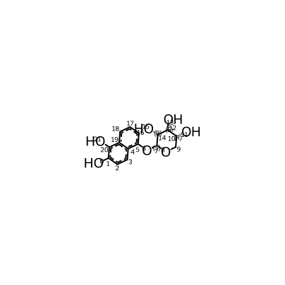 Oc1ccc2c(O[C@@H]3OC[C@@H](O)[C@H](O)[C@H]3O)cccc2c1O